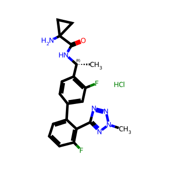 C[C@@H](NC(=O)C1(N)CC1)c1ccc(-c2cccc(F)c2-c2nnn(C)n2)cc1F.Cl